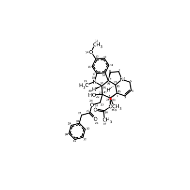 CC[C@]12C=CCN3CC[C@@]4(c5ccc(OC)cc5N(C)[C@H]4C(O)(COC(=O)Cc4ccccc4)[C@@H]1OC(C)=O)[C@@H]32